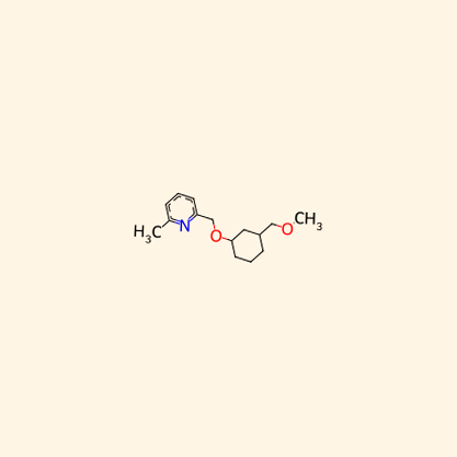 COCC1CCCC(OCc2cccc(C)n2)C1